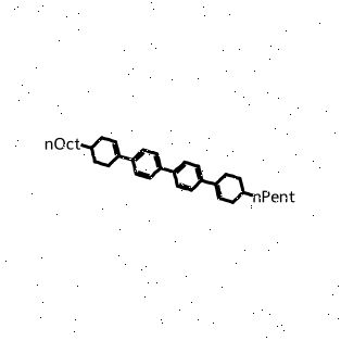 CCCCCCCCC1CC=C(c2ccc(-c3ccc(C4=CCC(CCCCC)CC4)cc3)cc2)CC1